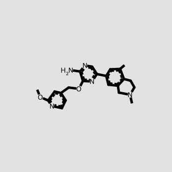 COc1cc(COc2nc(-c3cc(C)c4c(c3)CN(C)CC4)cnc2N)ccn1